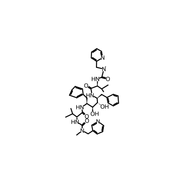 CC(C)[C@H](NC(=O)N(C)Cc1cccnc1)C(=O)N[C@@H](Cc1ccccc1)[C@H](O)[C@@H](O)[C@H](Cc1ccccc1)NC(=O)[C@@H](NC(=O)N(C)Cc1ccccn1)C(C)C